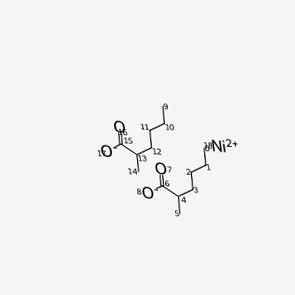 CCCCC(C)C(=O)[O-].CCCCC(C)C(=O)[O-].[Ni+2]